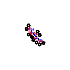 O=P1(NCCN(CCN(CCN(CCNP2(=O)Oc3ccccc3-c3ccccc32)P2(=O)Oc3ccccc3-c3ccccc32)P2(=O)Oc3ccccc3-c3ccccc32)P2(=O)Oc3ccccc3-c3ccccc32)Oc2ccccc2-c2ccccc21